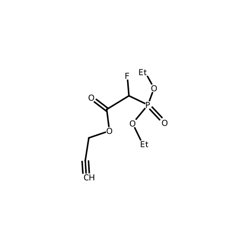 C#CCOC(=O)C(F)P(=O)(OCC)OCC